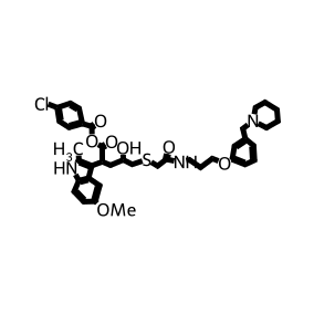 COc1ccc2[nH]c(C)c(C(CC(O)CSCC(=O)NCCCOc3cccc(CN4CCCCC4)c3)C(=O)OC(=O)c3ccc(Cl)cc3)c2c1